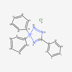 [Cl-].c1ccc(C2=N[N+](c3ccccc3)(c3ccccc3)N=N2)cc1